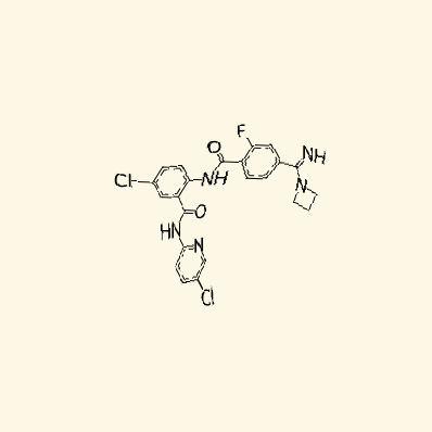 N=C(c1ccc(C(=O)Nc2ccc(Cl)cc2C(=O)Nc2ccc(Cl)cn2)c(F)c1)N1CCC1